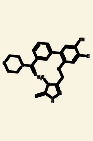 Cn1c(COc2cc(Cl)c(C#N)cc2-c2cccc(C(=O)N3CCOCC3)c2)n[nH]c1=O